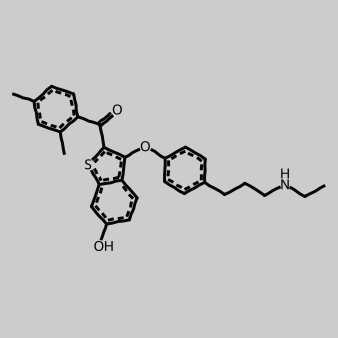 CCNCCCc1ccc(Oc2c(C(=O)c3ccc(C)cc3C)sc3cc(O)ccc23)cc1